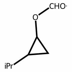 CC(C)C1CC1O[C]=O